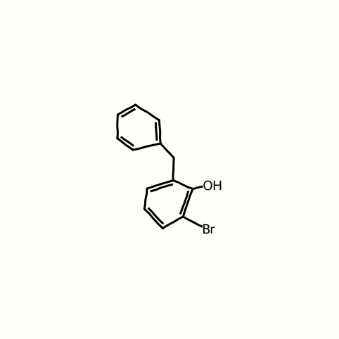 Oc1c(Br)cccc1Cc1ccccc1